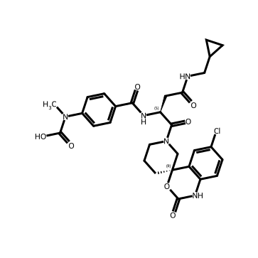 CN(C(=O)O)c1ccc(C(=O)N[C@@H](CC(=O)NCC2CC2)C(=O)N2CCC[C@@]3(C2)OC(=O)Nc2ccc(Cl)cc23)cc1